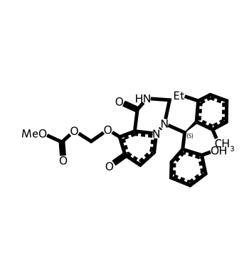 CCc1cccc(C)c1[C@@H](c1ccccc1O)N1CNC(=O)c2c(OCOC(=O)OC)c(=O)ccn21